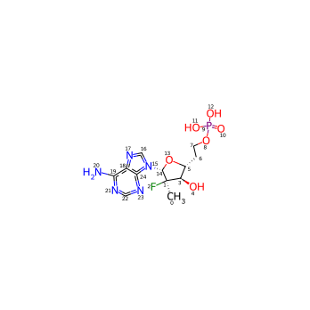 C[C@@]1(F)[C@H](O)[C@@H](CCOP(=O)(O)O)O[C@H]1n1cnc2c(N)ncnc21